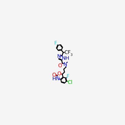 CN(CCCC1OC(=O)Nc2ccc(Cl)c(F)c21)C(=O)c1cnc(C(c2ccc(F)cc2)C(F)(F)F)[nH]1